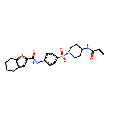 C=CC(=O)NC1CCN(S(=O)(=O)c2ccc(NC(=O)c3cc4c(s3)CCCC4)cc2)CC1